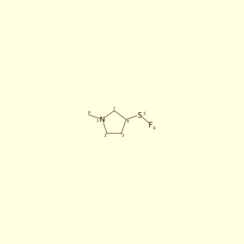 CN1CCC(SF)C1